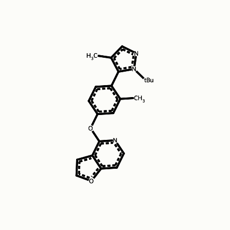 Cc1cc(Oc2nccc3occc23)ccc1-c1c(C)cnn1C(C)(C)C